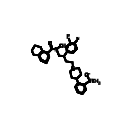 CN(CC(CCN1CCC(c2ccccc2[S@+](C)[O-])CC1)c1ccc(F)c(F)c1)C(=O)c1cccc2c1CCCC2